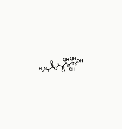 NCC(=O)OCC(=O)[C@@H](O)[C@H](O)[C@H](O)CO